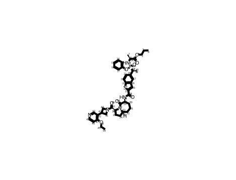 CCCOC(=O)[C@H](C)NP(=O)(Oc1ccccc1)[C@@H](F)c1ccc2sc(C(=O)N[C@H]3CCC[C@H]4CC[C@@H](C(=O)N5CC(c6cnccc6OCC)C5)N4C3=O)cc2c1